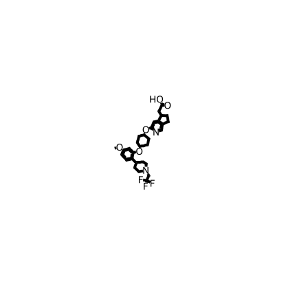 COc1ccc(C2CCN(CC(F)(F)F)CC2)c(O[C@H]2CC[C@H](Oc3cc4c(cn3)CCC4CC(=O)O)CC2)c1